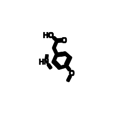 CNC.COc1ccc(CC(=O)O)cc1